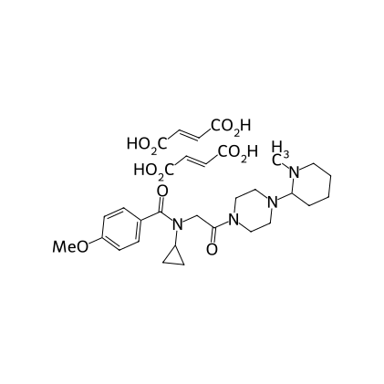 COc1ccc(C(=O)N(CC(=O)N2CCN(C3CCCCN3C)CC2)C2CC2)cc1.O=C(O)/C=C/C(=O)O.O=C(O)/C=C/C(=O)O